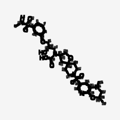 CNS(=O)(=O)c1cccc(OC[C@@H](O)CN(C(=O)O)[C@H]2COC3(CCN(S(=O)(=O)c4cnc5c(c4)N(C)C[C@@H](C)O5)CC3)C2)c1